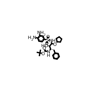 CC(C)(C)OC(=O)N[C@@H](Cc1ccccc1)[C@@H](O)C(NS(=O)(=O)c1ccc(N)c(N)c1)OC1CCCC1